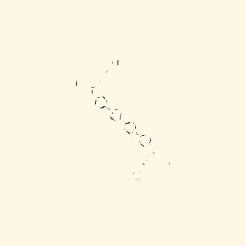 CCCCCCC(C)Cc1ccc(-[n+]2ccc(-c3cc[n+](-c4ccc(OC(C)CCCCCC)cc4)cc3)cc2)cc1